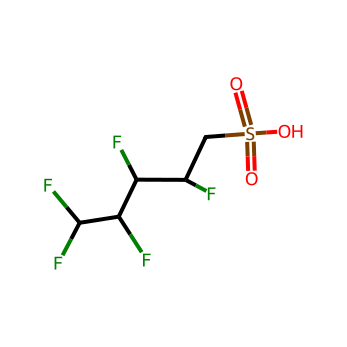 O=S(=O)(O)CC(F)C(F)C(F)C(F)F